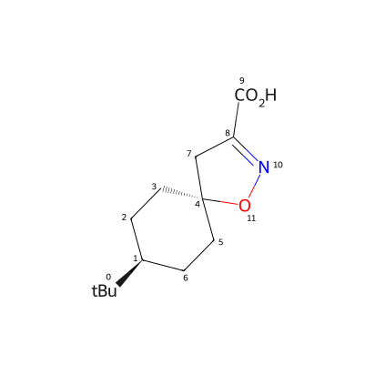 CC(C)(C)[C@H]1CC[C@]2(CC1)CC(C(=O)O)=NO2